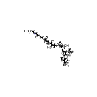 CC(C)(COP(=O)(O)OP(=O)(O)OCC1OC(n2cnc3c(N)ncnc32)C(O)C1OP(=O)(O)O)C(O)C(=O)NCCC(=O)NCCSC(=O)/C=C/CC(=O)O